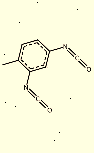 Cc1ccc(N=C=O)[c]c1N=C=O